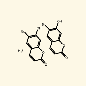 O=c1ccc2cc(Br)c(O)cc2o1.O=c1ccc2cc(Br)c(O)cc2o1.S